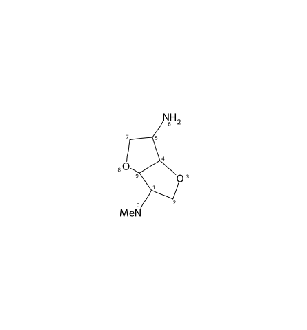 CNC1COC2C(N)COC12